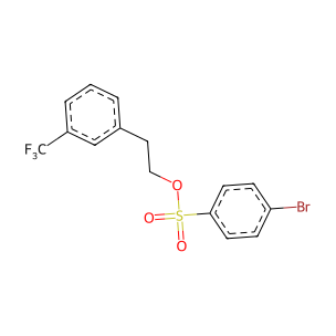 O=S(=O)(OCCc1cccc(C(F)(F)F)c1)c1ccc(Br)cc1